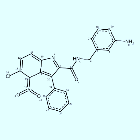 Nc1cc(CNC(=O)C2=NC3=CC=C(Cl)C(=S(=O)=O)C3=C2c2ccccc2)ccn1